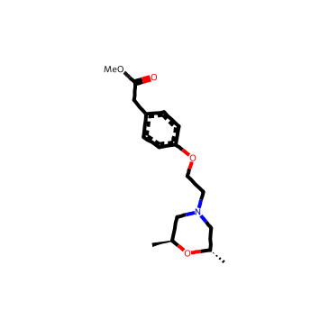 COC(=O)Cc1ccc(OCCN2C[C@H](C)O[C@@H](C)C2)cc1